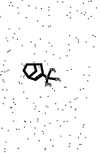 C[Si](C)(C)C1=CC2CCC(C1)C2